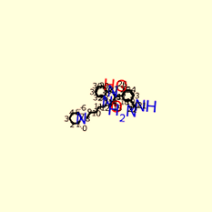 C[C@@H]1CCC[C@H](C)N1CCCCCn1c(=O)c(-c2cc(C(=N)N)ccc2O)nc2ccccc21